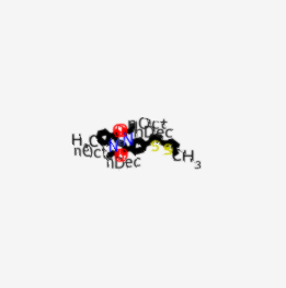 CCCCCCCCCCC(CCCCCCCC)C(=O)N1/C(=C2\C(=O)c3ccc(-c4ccc(-c5ccc(C)s5)s4)cc3N2C(=O)C(CCCCCCCC)CCCCCCCCCC)C(=O)c2ccc(C)cc21